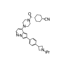 CC(C)N1CC(c2ccc(-c3cc4c(N5CCN(C(=O)[C@H]6CC[C@H](C#N)CC6)CC5)ccnn4c3)cc2)C1